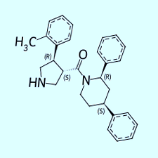 Cc1ccccc1[C@@H]1CNC[C@H]1C(=O)N1CC[C@H](c2ccccc2)C[C@@H]1c1ccccc1